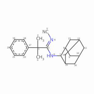 CC(C)(C(=NC#N)NC1C2CC3CC(C2)CC1C3)c1ccccc1